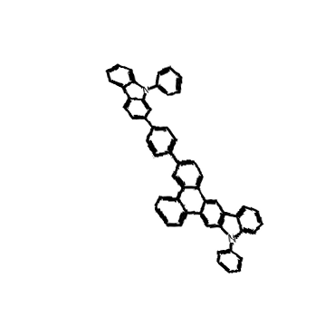 c1ccc(-n2c3ccccc3c3ccc(-c4ccc(-c5ccc6c(c5)c5ccccc5c5cc7c(cc65)c5ccccc5n7-c5ccccc5)cc4)cc32)cc1